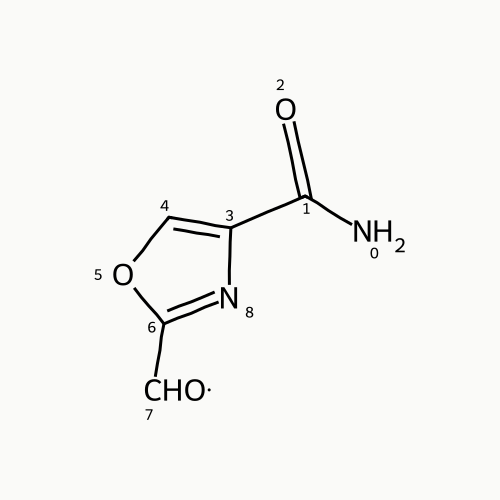 NC(=O)c1coc([C]=O)n1